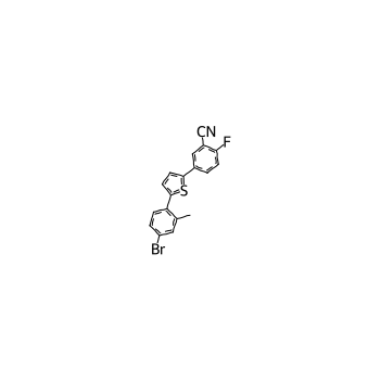 Cc1cc(Br)ccc1-c1ccc(-c2ccc(F)c(C#N)c2)s1